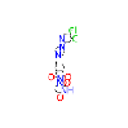 O=C1CCN(N2C(=O)c3ccc(CN4CCN(c5cc(Cl)c(Cl)cn5)CC4)cc3C2=O)C(=O)N1